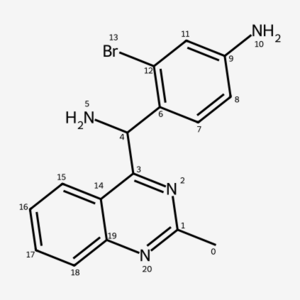 Cc1nc(C(N)c2ccc(N)cc2Br)c2ccccc2n1